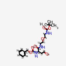 CC(C)(C)OC(=O)NCCOCCNC(=O)C(CC=O)NC(=O)OCc1ccccc1